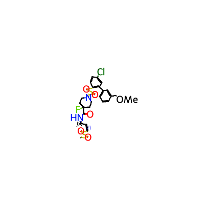 COCc1cccc(-c2cc(Cl)ccc2S(=O)(=O)N2CCC(F)(C(=O)N[C@@H](C)/C=C\S(C)(=O)=O)CC2)c1